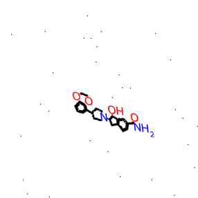 NC(=O)c1ccc2c(c1)[C@@H](O)[C@H](N1CCC(c3cccc4c3OCCO4)CC1)C2